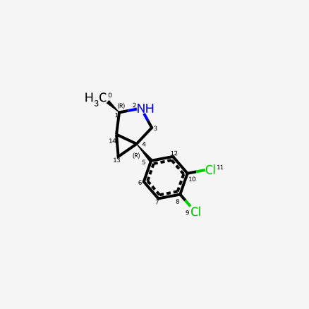 C[C@H]1NC[C@]2(c3ccc(Cl)c(Cl)c3)CC12